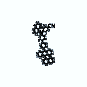 N#Cc1ccc(N(c2ccc(-c3ccc(-c4c5ccccc5c(-c5cccc6ccccc56)c5ccccc45)cc3)cc2)c2cccc3ccccc23)cc1